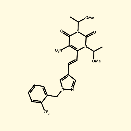 COC(C)n1c(C=Cc2cnn(Cc3ccccc3C(F)(F)F)c2)c([N+](=O)[O-])c(=O)n(C(C)OC)c1=O